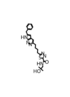 CC(C)(O)CNC(=O)c1nnc(CCCCc2cc3cc(Cc4ccccc4)[nH]c3nn2)s1